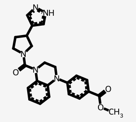 COC(=O)c1ccc(N2CCN(C(=O)N3CCC(c4cn[nH]c4)C3)c3ccccc32)cc1